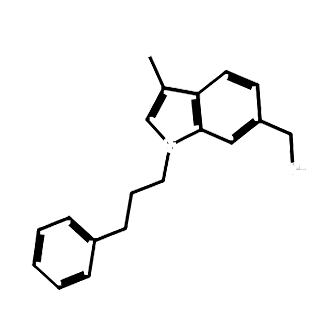 Cc1cn(CCCc2ccccc2)c2cc(CO)ccc12